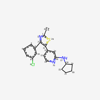 CCc1nc(-c2cccc(Cl)c2)c(-c2ccnc(NC3CCCC3)c2)s1